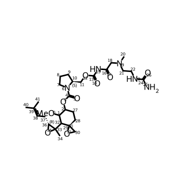 COC1C(OC(=O)N2CCC[C@H]2COC(=O)NC(=O)CN(C)CCNC(N)=O)CC[C@]2(CO2)C1C1(C)O[C@@H]1CC=C(C)C